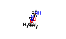 C[Si](C)(C)CCOCn1c(=O)c(-c2cccc(C(=S)NC3CCCC3)c2Cc2ccccc2)nc2ccccc21